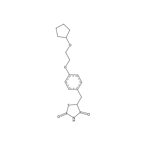 O=C1NC(=O)C(Cc2ccc(OCCOC3CCCC3)cc2)S1